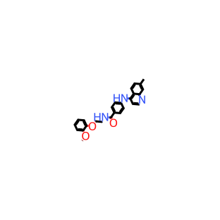 COc1ccccc1OCCNC(=O)c1ccc(Nc2ccnc3cc(C)ccc23)cc1